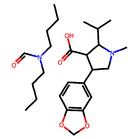 CC(C)C1C(C(=O)O)C(c2ccc3c(c2)OCO3)CN1C.CCCCN(C=O)CCCC